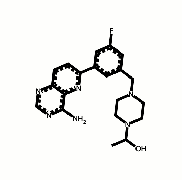 CC(O)N1CCN(Cc2cc(F)cc(-c3ccc4ncnc(N)c4n3)c2)CC1